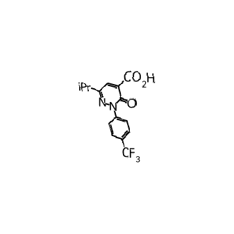 CC(C)c1cc(C(=O)O)c(=O)n(-c2ccc(C(F)(F)F)cc2)n1